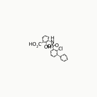 O=C(O)c1cccc(NS(=O)(=O)c2cccc(-c3ccccc3)c2Cl)c1O